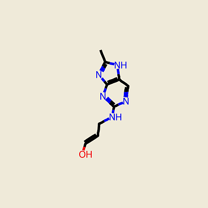 Cc1nc2nc(NCC=CO)ncc2[nH]1